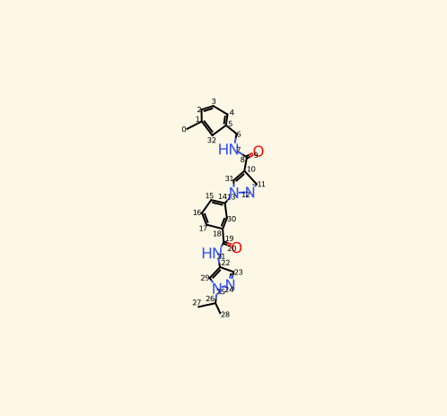 Cc1cccc(CNC(=O)c2cnn(-c3cccc(C(=O)Nc4cnn(C(C)C)c4)c3)c2)c1